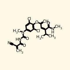 C=C(/C=C(\C(=O)NC)C(C)C)Oc1c(Cl)cc(N(C)C(=O)NC(=O)C(=C)C#N)cc1Cl